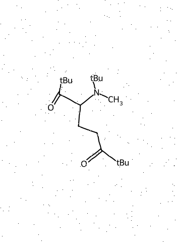 CN(C(CCC(=O)C(C)(C)C)C(=O)C(C)(C)C)C(C)(C)C